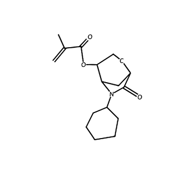 C=C(C)C(=O)OC1CCC2CC1N(C1CCCCC1)C2=O